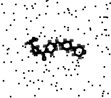 CC(=O)N(C)c1cnn(C(=O)N2CCN(Cc3ccc(N4CCOCC4)cc3)CC2)c1